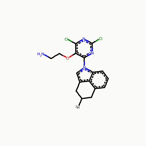 [2H]C1Cc2cccc3c2c(cn3-c2nc(Cl)nc(Cl)c2OCCN)C1